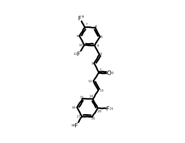 O=C(C=Cc1ccc(F)cc1F)C=Cc1ccc(F)cc1F